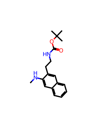 CNc1cc2ccccc2cc1CCNC(=O)OC(C)(C)C